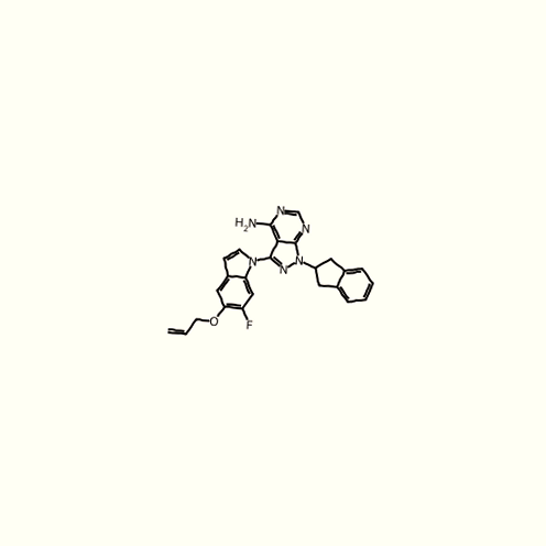 C=CCOc1cc2ccn(-c3nn(C4Cc5ccccc5C4)c4ncnc(N)c34)c2cc1F